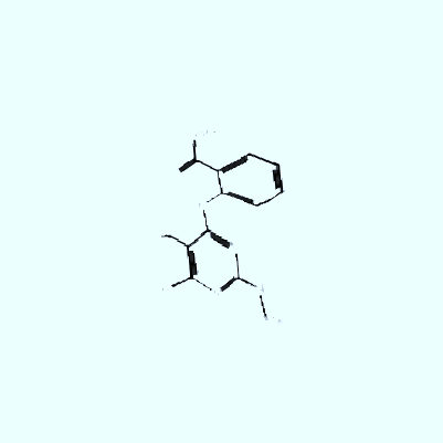 CCCCCNc1nc(Br)c(Cl)c(Nc2ccccc2C(=O)NC)n1